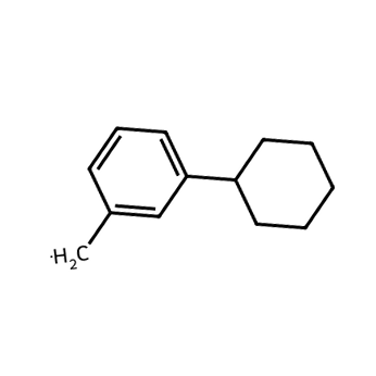 [CH2]c1cccc(C2CCCCC2)c1